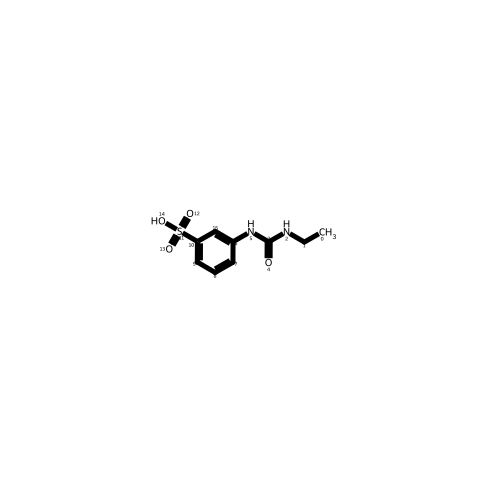 CCNC(=O)Nc1cccc(S(=O)(=O)O)c1